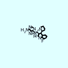 C[C@H](Nc1ncnc(N)c1N)c1cnc2c(F)cccc2c1-c1ccccn1